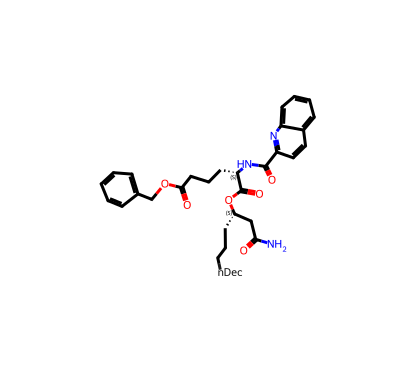 CCCCCCCCCCCCC[C@@H](CC(N)=O)OC(=O)[C@H](CCCC(=O)OCc1ccccc1)NC(=O)c1ccc2ccccc2n1